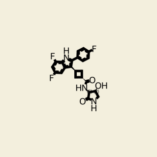 O=C1NC[C@@H](O)[C@@H]1NC(=O)[C@H]1C[C@H](c2c(-c3ccc(F)cc3)[nH]c3c(F)cc(F)cc32)C1